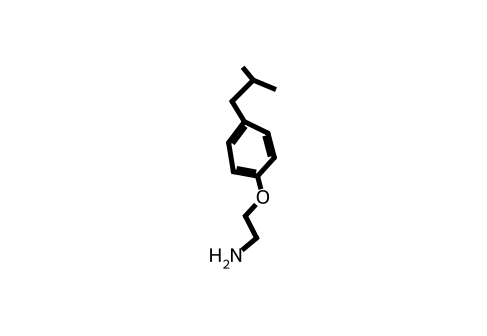 CC(C)Cc1ccc(OCCN)cc1